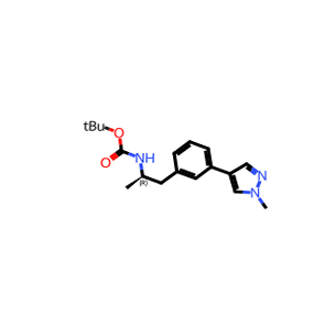 C[C@H](Cc1cccc(-c2cnn(C)c2)c1)NC(=O)OC(C)(C)C